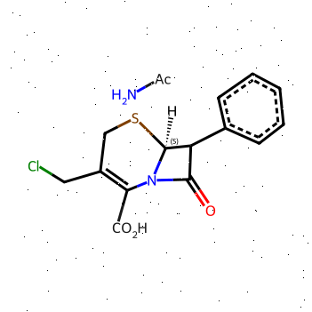 CC(N)=O.O=C(O)C1=C(CCl)CS[C@H]2C(c3ccccc3)C(=O)N12